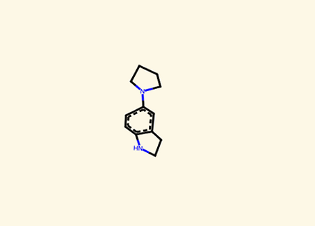 c1cc2c(cc1N1CCCC1)CCN2